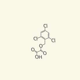 O=C(O)C(=O)OCc1c(Cl)cc(Cl)cc1Cl